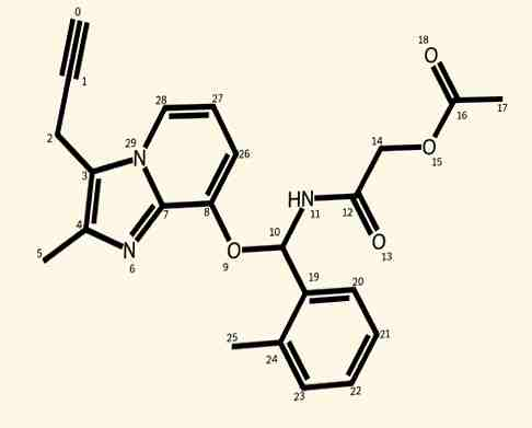 C#CCc1c(C)nc2c(OC(NC(=O)COC(C)=O)c3ccccc3C)cccn12